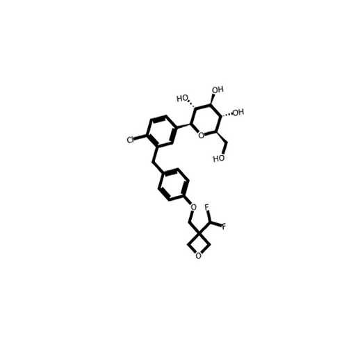 OC[C@H]1O[C@@H](c2ccc(Cl)c(Cc3ccc(OCC4(C(F)F)COC4)cc3)c2)[C@H](O)[C@@H](O)[C@@H]1O